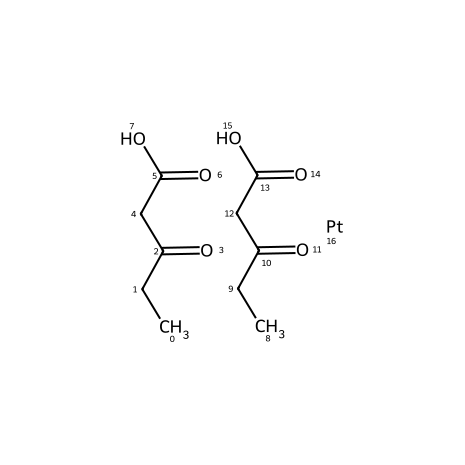 CCC(=O)CC(=O)O.CCC(=O)CC(=O)O.[Pt]